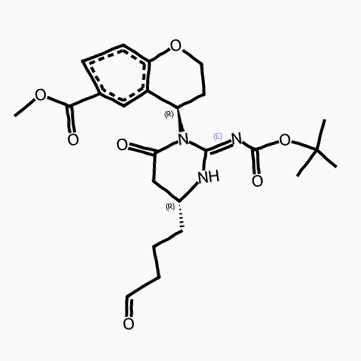 COC(=O)c1ccc2c(c1)[C@H](N1C(=O)C[C@@H](CCCC=O)N/C1=N\C(=O)OC(C)(C)C)CCO2